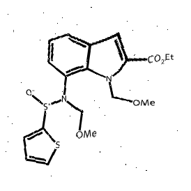 CCOC(=O)c1cc2cccc(N(COC)[S+]([O-])c3cccs3)c2n1COC